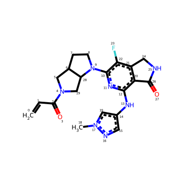 C=CC(=O)N1CC2CCN(c3nc(Nc4cnn(C)c4)c4c(c3F)CNC4=O)C2C1